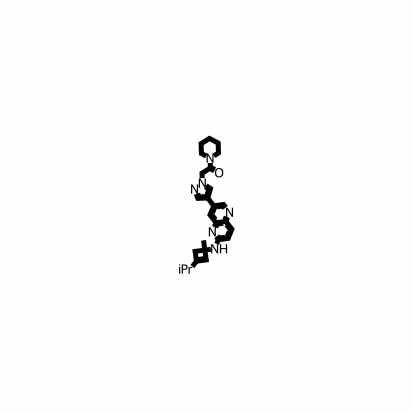 CC(C)C1=CC(C)(Nc2ccc3ncc(-c4cnn(CC(=O)N5CCCCC5)c4)cc3n2)C1